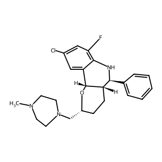 CN1CCN(C[C@H]2CC[C@@H]3[C@H](O2)c2cc(Cl)cc(F)c2N[C@H]3c2ccccc2)CC1